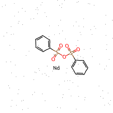 O=S(=O)(OS(=O)(=O)c1ccccc1)c1ccccc1.[Nd]